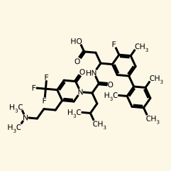 Cc1cc(C)c(-c2cc(C)c(F)c(C(CC(=O)O)NC(=O)C(CC(C)C)n3cc(CCCN(C)C)c(C(F)(F)F)cc3=O)c2)c(C)c1